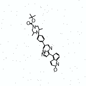 COc1ccc2c(-c3cnn4cc(-c5ccc(N6C(C)CN(C(=O)OC(C)(C)C)CC6C)cc5)cnc34)cccc2n1